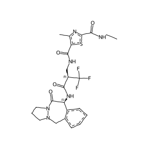 CCNC(=O)c1nc(C)c(C(=O)NC[C@H](C(=O)N[C@@H]2C(=O)N3CCCN3Cc3ccccc32)C(F)(F)F)s1